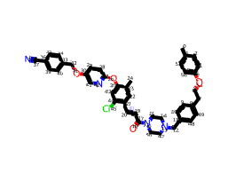 Cc1ccc(OCCc2ccc(CN3CCN(C(=O)/C=C/c4cc(C)c(Oc5ccc(OCc6ccc(C#N)cc6)cn5)cc4Cl)CC3)cc2)cc1